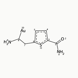 NC(=O)c1ccc(C[CH](N)[Au])s1